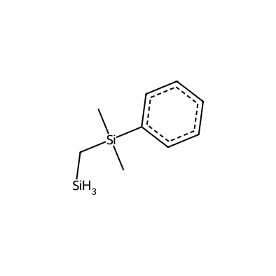 C[Si](C)(C[SiH3])c1ccccc1